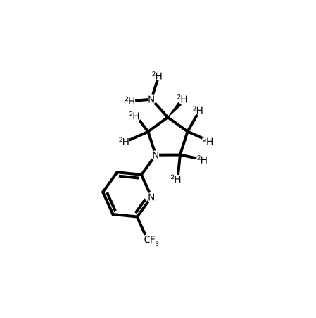 [2H]N([2H])[C@@]1([2H])C([2H])([2H])N(c2cccc(C(F)(F)F)n2)C([2H])([2H])C1([2H])[2H]